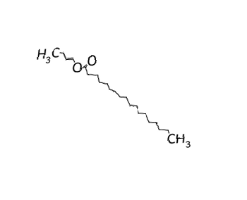 CCC=COC(=O)CCCCCCCCCCCCCCCCC